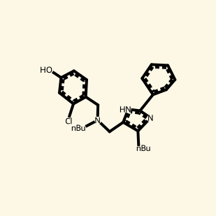 CCCCc1nc(-c2ccccc2)[nH]c1CN(CCCC)Cc1ccc(O)cc1Cl